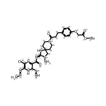 CC(C)(C)OC(=O)COc1ccc(CCC(=O)N2CCC3(CC2)CN(N)/C(=N\C(=O)C2=NC(Cl)=C(N=NN)NC2N=N)N3)cc1